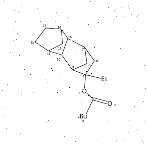 CCC(C)C(=O)OC1(CC)CC2CC1C1C3CCC(C3)C21